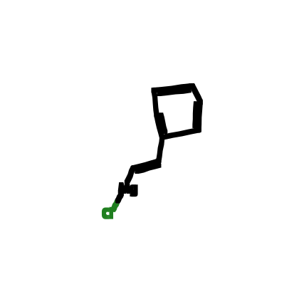 [Cl][Mg]/[CH]=C/c1ccccc1